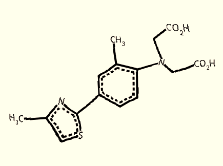 Cc1csc(-c2ccc(N(CC(=O)O)CC(=O)O)c(C)c2)n1